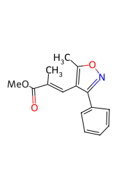 COC(=O)C(C)=Cc1c(-c2ccccc2)noc1C